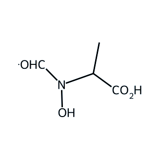 CC(C(=O)O)N(O)[C]=O